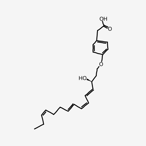 CC/C=C\CC/C=C/C=C\C=C\[C@@H](O)CCOc1ccc(CC(=O)O)cc1